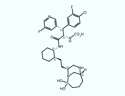 O=C(O)N[C@H](C(=O)N[C@H]1CCCC[C@@H]1CC[C@H]1CN[C@@H]2CCCS(O)(O)N1C2)[C@H](c1cncc(F)c1)c1ccc(Cl)c(F)c1